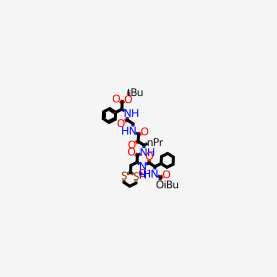 CCCC(NC(=O)C(CC1SCCC[S+]1[O-])NC(=O)C(NC(=O)OCC(C)C)C1CCCCC1)C(=O)C(=O)NCC(=O)NC(C(=O)OC(C)(C)C)c1ccccc1